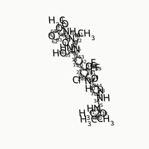 COC(=O)N[C@H](C(=O)N1C[C@@H](C)C[C@H]1c1nc(-c2ccc(-c3cc(Cl)c(NC(=O)c4ccc(NCCNC(=O)C(C)(C)C)nc4)cc3OC(F)(F)F)cc2)c(CO)[nH]1)C1CCOCC1